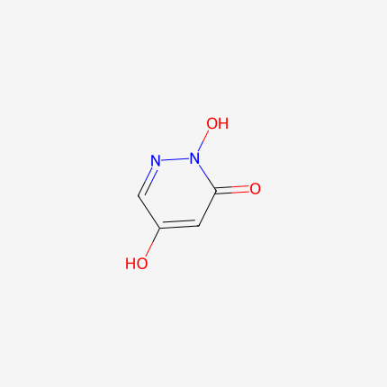 O=c1cc(O)cnn1O